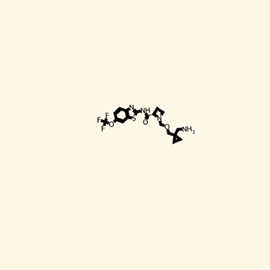 NCC1(COCN2CC[C@H]2C(=O)Nc2nc3ccc(OC(F)(F)F)cc3s2)CC1